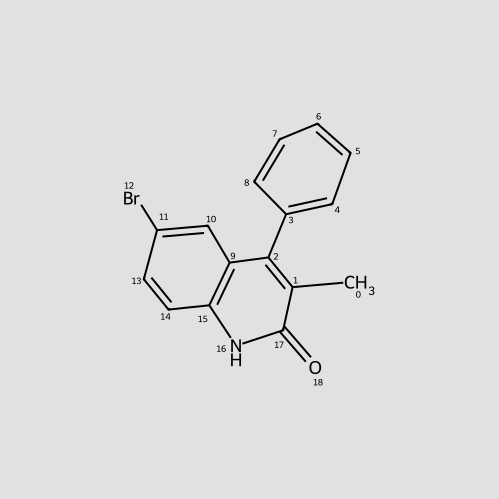 Cc1c(-c2ccccc2)c2cc(Br)ccc2[nH]c1=O